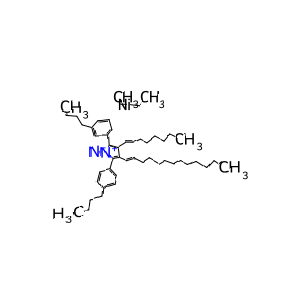 CCCCCCC=CC1=C(c2cccc(CCCC)c2)[N+](=[N-])C(c2ccc(CCCC)cc2)=C1C=CCCCCCCCCCCC.C[CH2][Ni][CH2]C